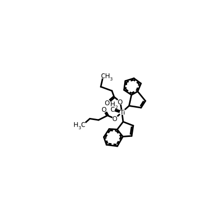 [CH2]=[Ti]([O]C(=O)CCC)([O]C(=O)CCC)([CH]1C=Cc2ccccc21)[CH]1C=Cc2ccccc21